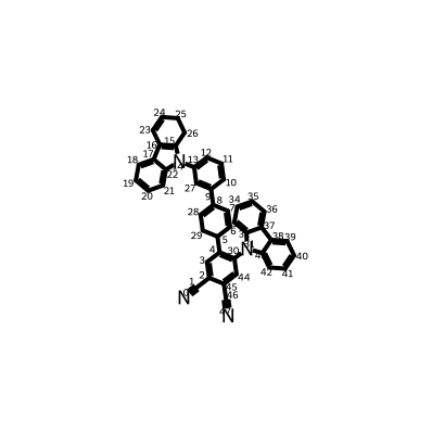 N#Cc1cc(C2C=CC(c3cccc(-n4c5c(c6ccccc64)C=CCC5)c3)=CC2)c(-n2c3ccccc3c3ccccc32)cc1C#N